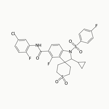 O=C(Nc1cc(Cl)ccc1F)c1ccc2c(c1F)C1(CCS(=O)(=O)CC1)C(C1CC1)N2S(=O)(=O)c1ccc(F)cc1